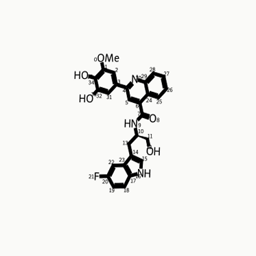 COc1cc(-c2cc(C(=O)N[C@@H](CO)Cc3c[nH]c4ccc(F)cc34)c3ccccc3n2)cc(O)c1O